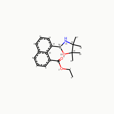 CCOC(=O)c1cccc2cccc(B3NC(C)(C)C(C)(C)O3)c12